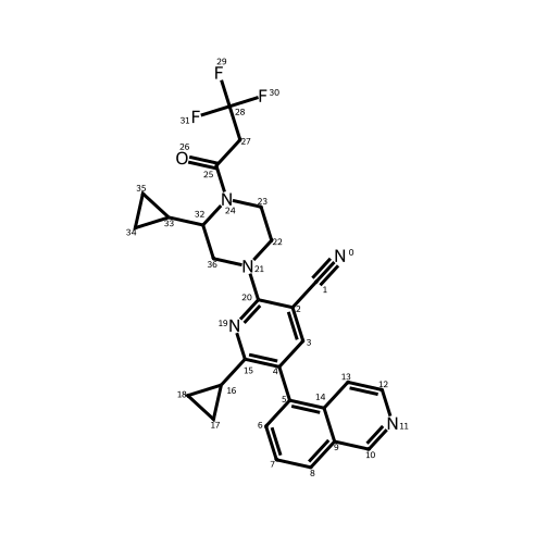 N#Cc1cc(-c2cccc3cnccc23)c(C2CC2)nc1N1CCN(C(=O)CC(F)(F)F)C(C2CC2)C1